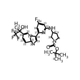 CC(C)(C)OC(=O)N1CCC(Nc2cc(F)cc(-c3cnc4ccc(C(C)(O)C(F)(F)F)cn34)n2)C1